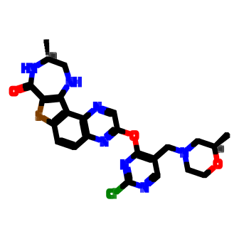 C[C@@H]1CNc2c(sc3ccc4nc(Oc5nc(Cl)ncc5CN5CCO[C@H](C)C5)cnc4c23)C(=O)N1